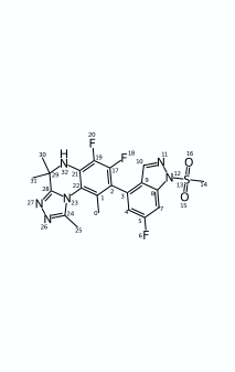 Cc1c(-c2cc(F)cc3c2cnn3S(C)(=O)=O)c(F)c(F)c2c1-n1c(C)nnc1C(C)(C)N2